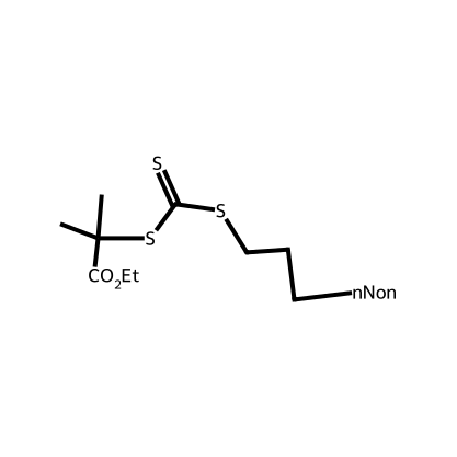 CCCCCCCCCCCCSC(=S)SC(C)(C)C(=O)OCC